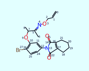 C=CCO/N=C(\C)C(C)Oc1cc(N2C(=O)C3=C(CCCC3)C2=O)ccc1Br